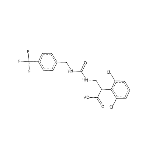 O=C(NCc1ccc(C(F)(F)F)cc1)NCC(C(=O)O)c1c(Cl)cccc1Cl